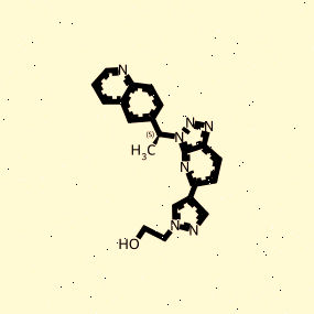 C[C@@H](c1ccc2ncccc2c1)n1nnc2ccc(-c3cnn(CCO)c3)nc21